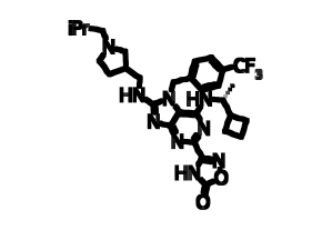 CC(C)CN1CCC(CNc2nc3nc(-c4noc(=O)[nH]4)nc(N[C@H](C)C4CCC4)c3n2Cc2ccc(C(F)(F)F)cc2)C1